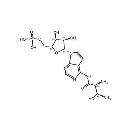 C[C@@H](O)[C@H](N)C(=O)Nc1ncnc2c1ncn2[C@@H]1O[C@H](COP(=O)(O)O)[C@@H](O)[C@H]1O